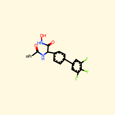 CCCC(=O)NC(C(=O)NO)c1ccc(-c2cc(F)c(F)c(F)c2)cc1